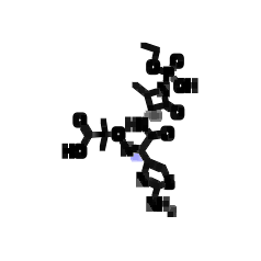 CCOP(=O)(O)N1C(=O)[C@H](NC(=O)/C(=N\OC(C)(C)C(=O)O)c2csc(N)n2)C1C